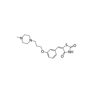 CN1CCN(CCCOc2cccc(/C=C3/SC(=O)NC3=O)c2)CC1